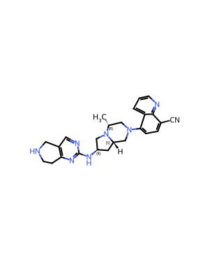 C[C@@H]1CN(c2ccc(C#N)c3ncccc23)C[C@@H]2C[C@@H](Nc3ncc4c(n3)CCNC4)CN21